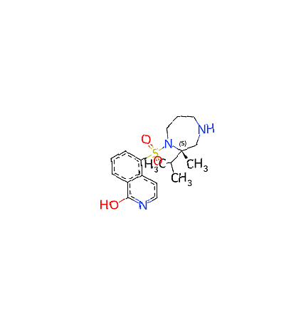 CC(C)[C@@]1(C)CNCCCN1S(=O)(=O)c1cccc2c(O)nccc12